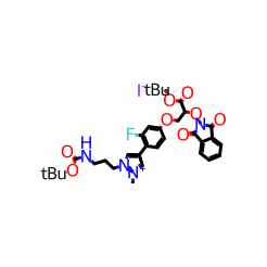 C[n+]1cc(-c2ccc(OCC(ON3C(=O)c4ccccc4C3=O)C(=O)OC(C)(C)C)cc2F)cn1CCCNC(=O)OC(C)(C)C.[I-]